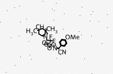 COc1ccc(C(C#N)=NOS(=O)(=O)C(F)(F)C(=O)N2CC3(C)CC2CC(C)(C)C3)cc1